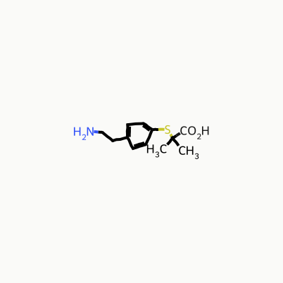 CC(C)(Sc1ccc(CCN)cc1)C(=O)O